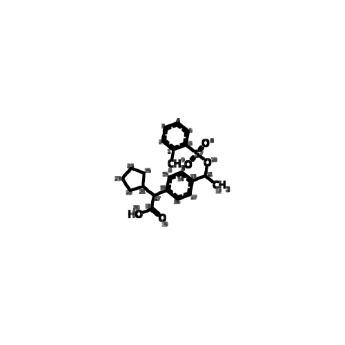 Cc1ccccc1S(=O)(=O)OC(C)c1ccc(C(C(=O)O)C2CCCC2)cc1